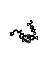 C=CC(=O)N1CC2(CC(Oc3cc4c(Nc5cc(/C(C)=C/C=C\C6CCC6)ccc5OC)ncnc4cc3OC)C2)C1